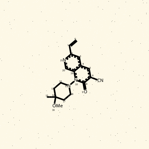 C=Cc1cc2cc(C#N)c(=O)n(N3CCC(C)(OC)CC3)c2cn1